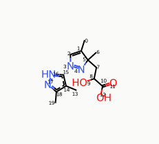 CC1=CN=NC1(C)CC(O)C(=O)O.Cc1c[nH]nc1C